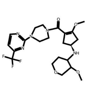 COC1=C(C(=O)N2CCN(c3nccc(C(F)(F)F)n3)CC2)C[C@H](NC2CCOCC2OC)C1